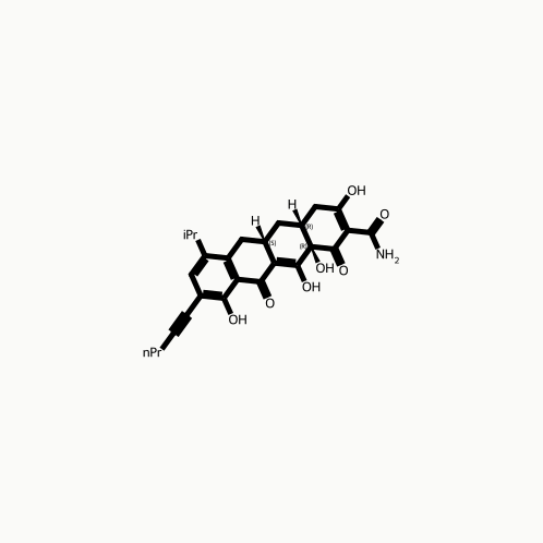 CCCC#Cc1cc(C(C)C)c2c(c1O)C(=O)C1=C(O)[C@@]3(O)C(=O)C(C(N)=O)=C(O)C[C@H]3C[C@H]1C2